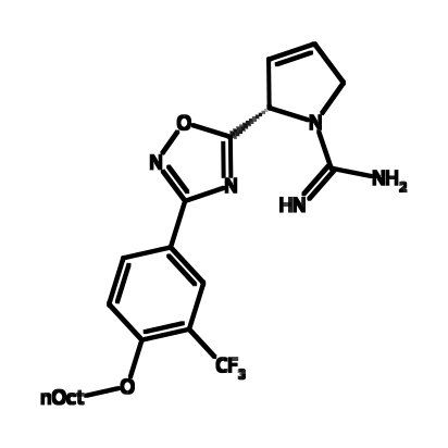 CCCCCCCCOc1ccc(-c2noc([C@@H]3C=CCN3C(=N)N)n2)cc1C(F)(F)F